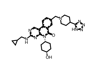 O=c1c2cc(CN3CCC(c4nnn[nH]4)CC3)ccc2c2cnc(NCC3CC3)nc2n1[C@H]1CC[C@H](O)CC1